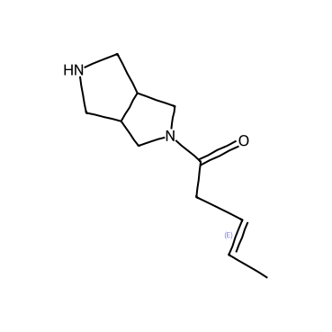 C/C=C/CC(=O)N1CC2CNCC2C1